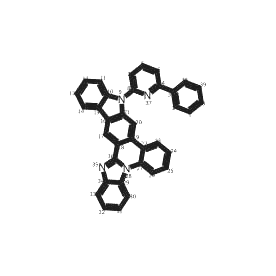 c1ccc(-c2cccc(-n3c4ccccc4c4cc5c(cc43)c3ccccc3n3c4ccccc4nc53)n2)cc1